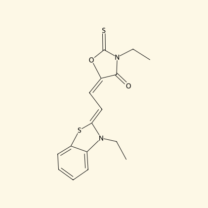 CCN1C(=O)/C(=C\C=C2/Sc3ccccc3N2CC)OC1=S